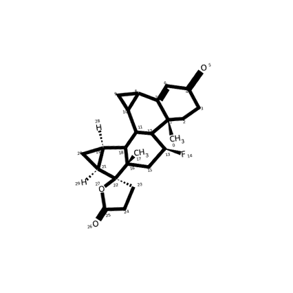 C[C@]12CCC(=O)C=C1C1CC1C1C2[C@@H](F)C[C@@]2(C)C1[C@@H]1C[C@@H]1[C@@]21CCC(=O)O1